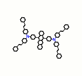 C(=Cc1ccc(N(c2ccc(C=Cc3ccccc3)cc2)c2ccc(-c3c4ccccc4c(-c4ccc(N(c5ccc(C=Cc6ccccc6)cc5)c5ccc(C=Cc6ccccc6)cc5)cc4)c4cc5ccccc5cc34)cc2)cc1)c1ccccc1